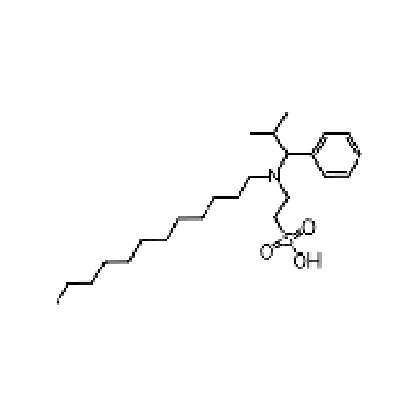 CCCCCCCCCCCCN(CCS(=O)(=O)O)C(c1ccccc1)C(C)C